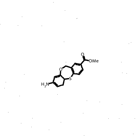 COC(=O)c1ccc2c(c1)COC1=CC(N)=CCC1S2